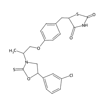 CC(COc1ccc(CC2SC(=O)NC2=O)cc1)N1CC(c2cccc(Cl)c2)OC1=S